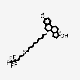 COc1ccc2c(c1)C[C@@H](C/C=C/CCCCCCSCCCC(F)(F)C(F)(F)F)C1C2CC[C@]2(C)C(O)CCC12